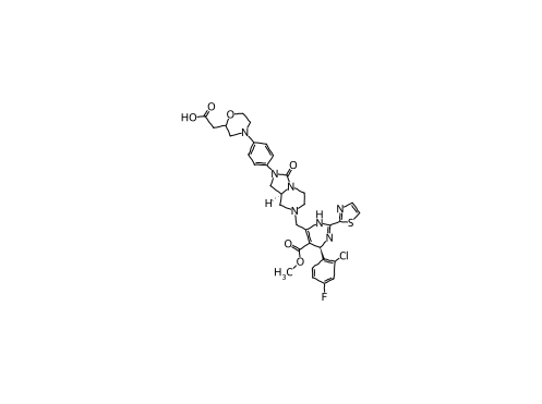 COC(=O)C1=C(CN2CCN3C(=O)N(c4ccc(N5CCOC(CC(=O)O)C5)cc4)C[C@@H]3C2)NC(c2nccs2)=N[C@H]1c1ccc(F)cc1Cl